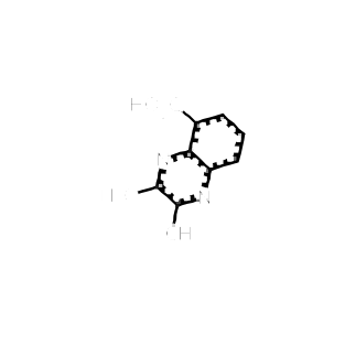 Cc1nc2cccc(C(=O)O)c2nc1C